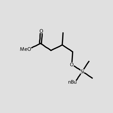 CCCC[Si](C)(C)OCC(C)CC(=O)OC